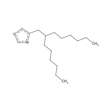 CCCCCCC(CCCCCC)Cc1cocn1